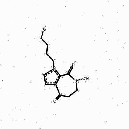 CN1CCC(=O)c2ccn(CCCCBr)c2C1=O